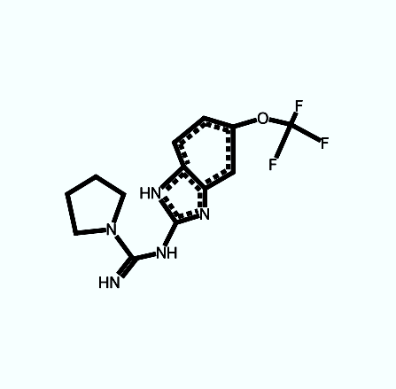 N=C(Nc1nc2cc(OC(F)(F)F)ccc2[nH]1)N1CCCC1